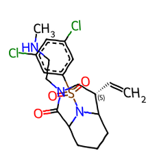 C=C[C@H]1CN(CCNC)C(=O)C2CCCC1N2S(=O)(=O)c1cc(Cl)cc(Cl)c1